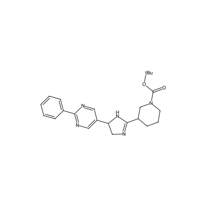 CC(C)(C)OC(=O)N1CCCC(C2=NCC(c3cnc(-c4ccccc4)nc3)N2)C1